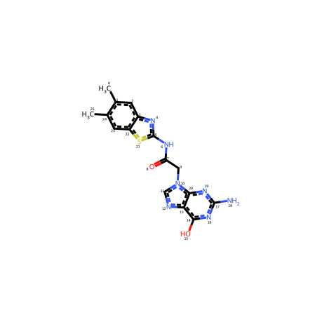 Cc1cc2nc(NC(=O)Cn3cnc4c(O)nc(N)nc43)sc2cc1C